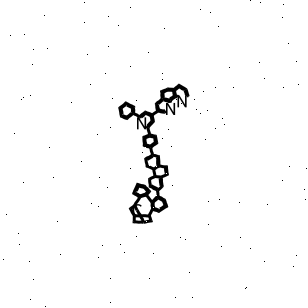 C1=CC2=CC(c3cccc4c3-c3ccccc3C3CC5CC6CC4C56C3)=CCC2C2CC=C(c3ccc(-c4cc(-c5cnc6c(ccc7cccnc76)c5)cc(-c5ccccc5)n4)cc3)C=C12